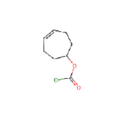 O=C(Cl)OC1CCC=CCC1